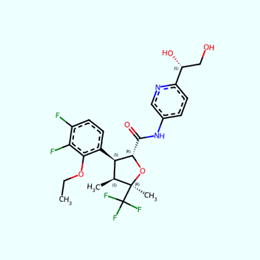 CCOc1c([C@H]2[C@H](C(=O)Nc3ccc([C@H](O)CO)nc3)O[C@@](C)(C(F)(F)F)[C@H]2C)ccc(F)c1F